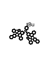 CC(C)(C)c1ccc(N(c2ccc3c4c(c5ccccc5c3c2)-c2cc3ccccc3cc2C42c3ccccc3-c3ccccc32)c2ccc3c4c(c5ccccc5c3c2)-c2cc3ccccc3cc2C42c3ccccc3-c3ccccc32)cc1